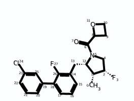 C[C@H]1[C@@H](F)CN(C(=O)C2CCO2)[C@H]1Cc1cccc(-c2cccc(Cl)c2)c1F